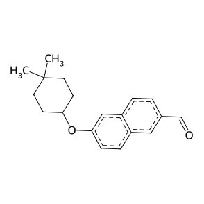 CC1(C)CCC(Oc2ccc3cc(C=O)ccc3c2)CC1